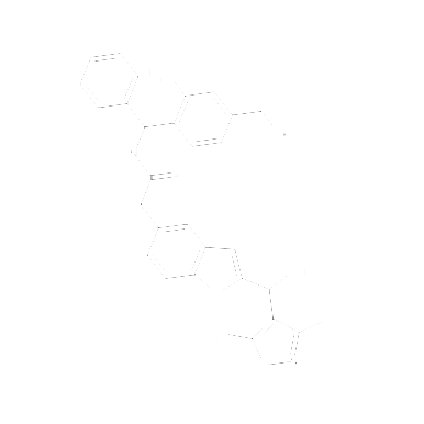 Cc1cc(CO)ccc1C(NC(=O)Cc1ccc2oc(C(O)c3c(C)noc3C)cc2c1)c1ccccc1